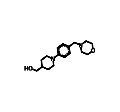 OCC1CCN(c2ccc(CN3CCOCC3)cc2)CC1